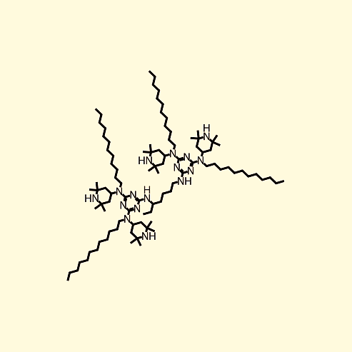 CCCCCCCCCCCCN(c1nc(NCCCCC(CC)Nc2nc(N(CCCCCCCCCCCC)C3CC(C)(C)NC(C)(C)C3)nc(N(CCCCCCCCCCCC)C3CC(C)(C)NC(C)(C)C3)n2)nc(N(CCCCCCCCCCCC)C2CC(C)(C)NC(C)(C)C2)n1)C1CC(C)(C)NC(C)(C)C1